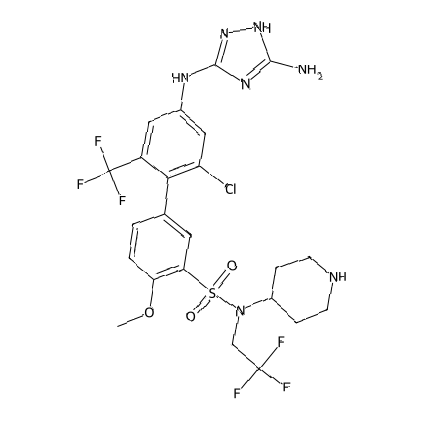 COc1ccc(-c2c(Cl)cc(Nc3n[nH]c(N)n3)cc2C(F)(F)F)cc1S(=O)(=O)N(CC(F)(F)F)C1CCNCC1